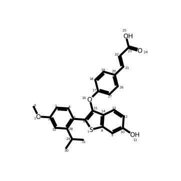 COc1ccc(-c2sc3cc(O)ccc3c2Oc2ccc(C=CC(=O)O)cc2)c(C(C)C)c1